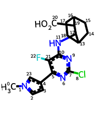 Cn1ccc(-c2nc(Cl)nc(NC3C4CCC(CC4)C3C(=O)O)c2F)c1